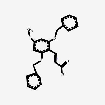 COc1cc(OCc2ccccc2)c(/C=C/C(=O)O)c(OCc2ccccc2)c1